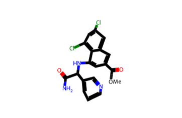 COC(=O)c1cc(NC(C(N)=O)c2cccnc2)c2c(Cl)cc(Cl)cc2c1